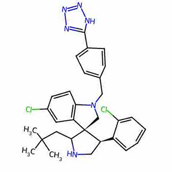 CC(C)(C)CC1NC[C@H](c2ccccc2Cl)[C@]12CN(Cc1ccc(-c3nnn[nH]3)cc1)c1ccc(Cl)cc12